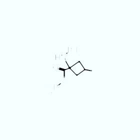 O=C(OP)C1(NP)CC(F)C1